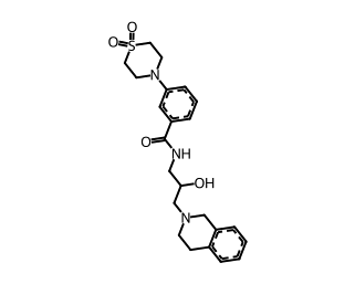 O=C(NCC(O)CN1CCc2ccccc2C1)c1cccc(N2CCS(=O)(=O)CC2)c1